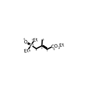 CCOC(=O)/C=C(\C)CP(=O)(CC)CC